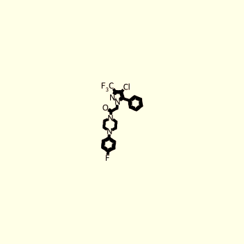 O=C(Cn1nc(C(F)(F)F)c(Cl)c1-c1ccccc1)N1CCN(c2ccc(F)cc2)CC1